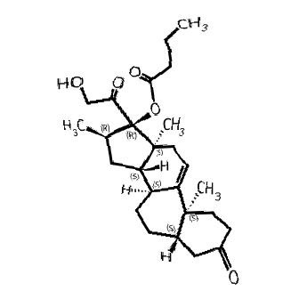 CCCC(=O)O[C@]1(C(=O)CO)[C@H](C)C[C@H]2[C@@H]3CC[C@H]4CC(=O)CC[C@]4(C)C3=CC[C@@]21C